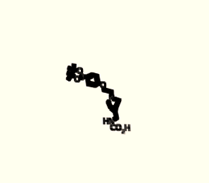 CC1(C)OB(c2ccc(OCCN3CC4C(CNC(=O)O)C4C3)cc2)OC1(C)C